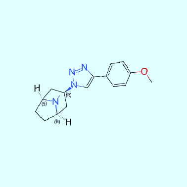 COc1ccc(-c2cn([C@H]3C[C@H]4CC[C@@H](C3)N4C)nn2)cc1